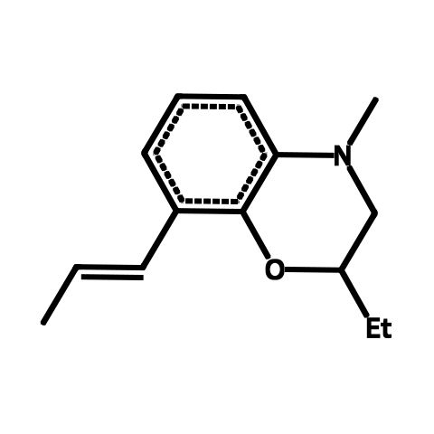 CC=Cc1cccc2c1OC(CC)CN2C